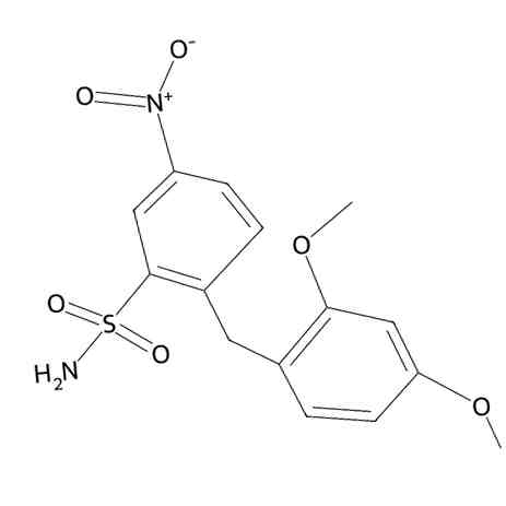 COc1ccc(Cc2ccc([N+](=O)[O-])cc2S(N)(=O)=O)c(OC)c1